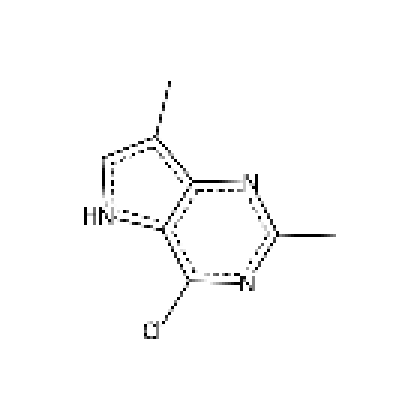 Cc1nc(Cl)c2[nH]cc(C)c2n1